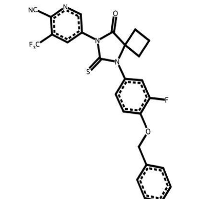 N#Cc1ncc(N2C(=O)C3(CCC3)N(c3ccc(OCc4ccccc4)c(F)c3)C2=S)cc1C(F)(F)F